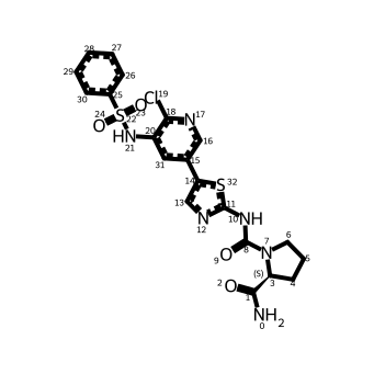 NC(=O)[C@@H]1CCCN1C(=O)Nc1ncc(-c2cnc(Cl)c(NS(=O)(=O)c3ccccc3)c2)s1